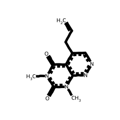 C=CCc1cnnc2c1c(=O)n(C)c(=O)n2C